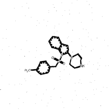 Cc1ccc(CS(=O)(=O)n2c(N3CCNCC3)cc3ccccc32)cc1